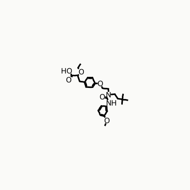 CCOC(Cc1ccc(OCCN(CCC(C)(C)C)C(=O)Nc2cccc(OC)c2)cc1)C(=O)O